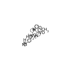 CC(C)(Oc1cccc(N2CCCC(C(=O)N(Cc3ccc(-c4ccn[nH]4)cc3)C3CC3)C2)c1)C(=O)N1CCN(C(=O)O)CC1